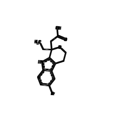 CCC1(CC(=O)O)OCCc2c1[nH]c1ccc(Br)cc21